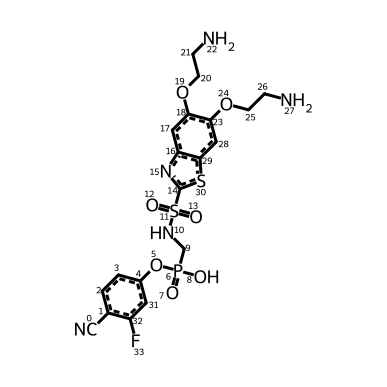 N#Cc1ccc(OP(=O)(O)CNS(=O)(=O)c2nc3cc(OCCN)c(OCCN)cc3s2)cc1F